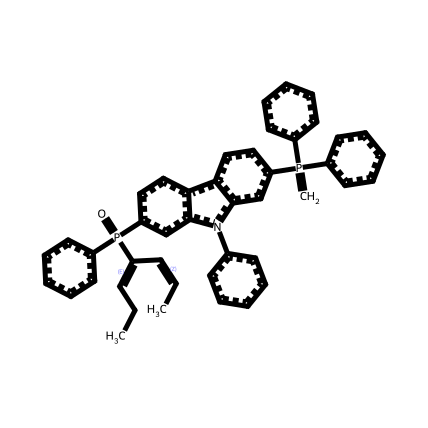 C=P(c1ccccc1)(c1ccccc1)c1ccc2c3ccc(P(=O)(C(/C=C\C)=C/CC)c4ccccc4)cc3n(-c3ccccc3)c2c1